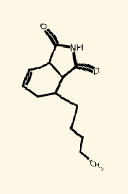 CCCCCC1CC=CC2C(=O)NC(=O)C12